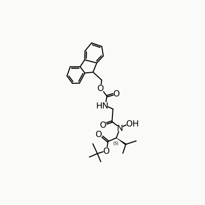 CC(C)[C@@H](C(=O)OC(C)(C)C)N(O)C(=O)CNC(=O)OCC1c2ccccc2-c2ccccc21